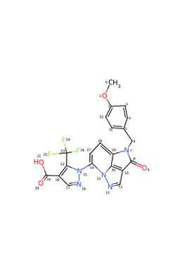 COc1ccc(Cn2c(=O)c3cnn4c(-n5ncc(C(=O)O)c5C(F)(F)F)ccc2c34)cc1